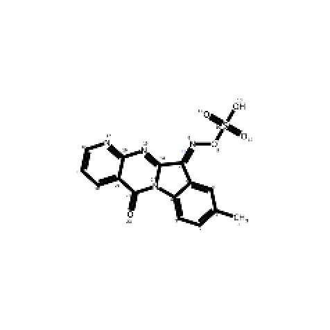 Cc1ccc2c(c1)/C(=N\OS(=O)(=O)O)c1nc3ncccc3c(=O)n1-2